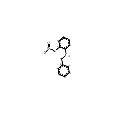 O=[N+]([O-])Oc1ccccc1OCc1ccccc1